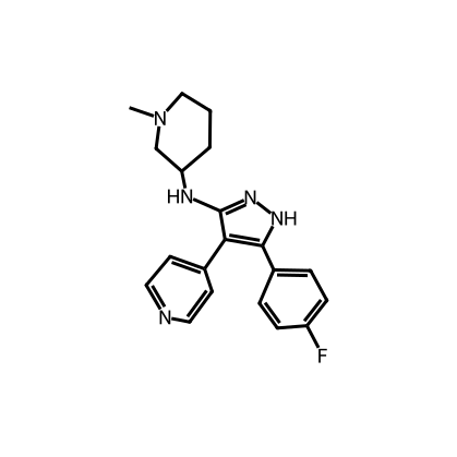 CN1CCCC(Nc2n[nH]c(-c3ccc(F)cc3)c2-c2ccncc2)C1